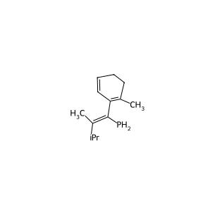 CC1=C(/C(P)=C(\C)C(C)C)C=CCC1